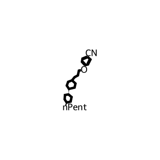 CCCCC[C@H]1CC[C@H](C2CCC(CCCOc3ccc(C#N)cc3)CC2)CC1